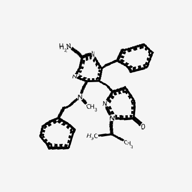 CC(C)n1nc(-c2c(-c3ccccc3)nc(N)nc2N(C)Cc2ccccc2)ccc1=O